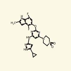 Cc1cc2c(F)c(Oc3nc(Nc4cc(C5CC5)[nH]n4)cc(N4CCS(=O)(=O)CC4)n3)cc(F)c2[nH]1